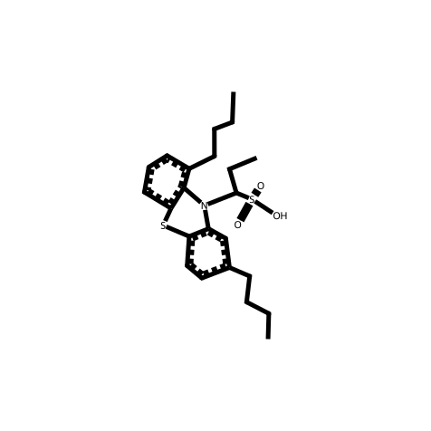 CCCCc1ccc2c(c1)N(C(CC)S(=O)(=O)O)c1c(CCCC)cccc1S2